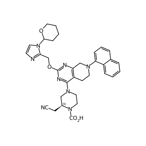 N#CC[C@H]1CN(c2nc(OCc3nccn3C3CCCCO3)nc3c2CCN(c2cccc4ccccc24)C3)CCN1C(=O)O